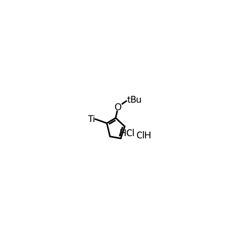 CC(C)(C)OC1=[C]([Ti])CC=C1.Cl.Cl